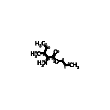 CCCOC(=O)C(N)C(C)CC